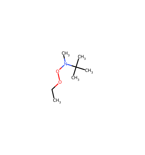 CCOON(C)C(C)(C)C